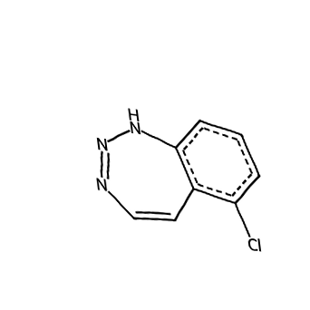 Clc1cccc2c1C=CN=NN2